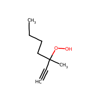 C#CC(C)(CCCC)OO